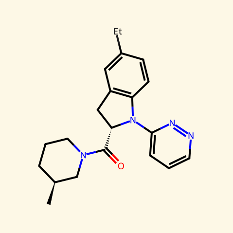 CCc1ccc2c(c1)C[C@@H](C(=O)N1CCC[C@H](C)C1)N2c1cccnn1